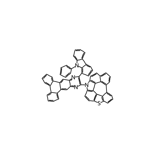 c1ccc(-n2c3ccccc3c3cccc(-c4nc5cc6c7ccccc7c7ccccc7c6cc5nc4-n4c5ccc6cccc7c6c5c5c6c(ccc54)sc4cccc-7c46)c32)cc1